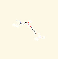 NC(CCC(=O)OCCCCON(O)O)C(=O)O